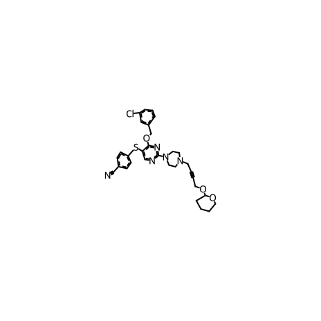 N#Cc1ccc(Sc2cnc(N3CCN(CC#CCOC4CCCCO4)CC3)nc2OCc2cccc(Cl)c2)cc1